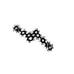 C1=Cc2cc(-c3ccc(-c4cn5cccnc5n4)cc3)cc3c2c(c2c4c(cccc43)C=C(c3ccc(-c4cn5cccnc5n4)cc3)C2)C1